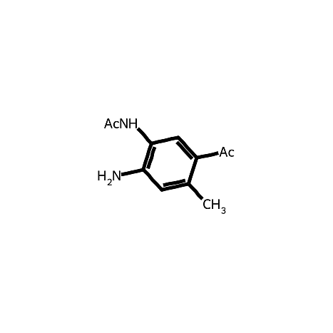 CC(=O)Nc1cc(C(C)=O)c(C)cc1N